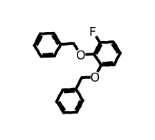 Fc1cccc(OCc2ccccc2)c1OCc1ccccc1